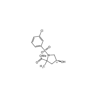 COC(=O)C1(C)C[C@H](O)CN1S(=O)(=O)c1cccc(Cl)c1